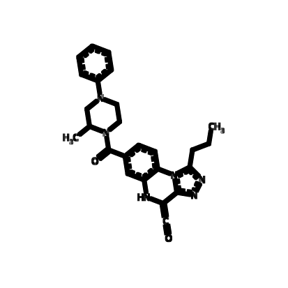 CCCc1nnc2n1-c1ccc(C(=O)N3CCN(c4ccccc4)CC3C)cc1NC2=C=O